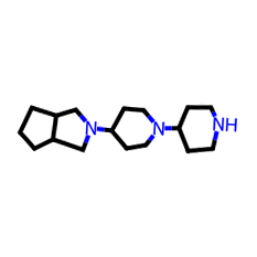 C1CC2CN(C3CCN(C4CCNCC4)CC3)CC2C1